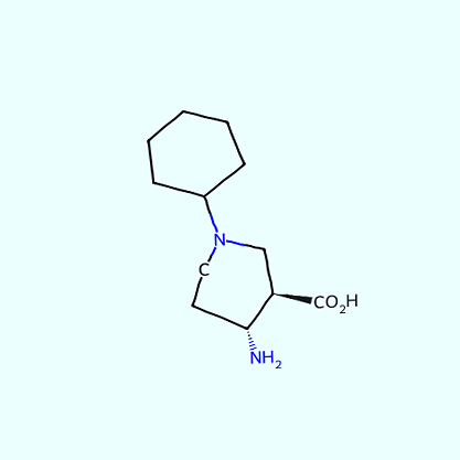 N[C@@H]1CCN(C2CCCCC2)C[C@H]1C(=O)O